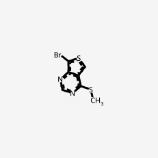 CSc1ncnc2c(Br)scc12